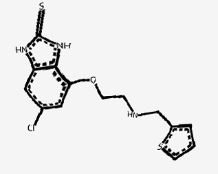 S=c1[nH]c2cc(Cl)cc(OCCNCc3cccs3)c2[nH]1